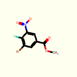 COC(=O)c1cc(Br)c(F)c([N+](=O)[O-])c1